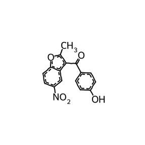 Cc1oc2ccc([N+](=O)[O-])cc2c1C(=O)c1ccc(O)cc1